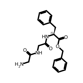 NCC(=O)NCC(=O)N[C@@H](Cc1ccccc1)C(=O)OCc1ccccc1